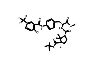 COC(=O)[C@H](Cc1ccc(NC(=O)c2cc(C(F)(F)F)ccc2Cl)cc1)NC(=O)[C@H]1CC[C@@](C)(C(=O)OC(C)(C)C)C1(C)C